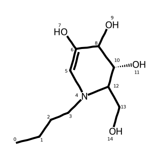 CCCCN1C=C(O)C(O)[C@H](O)C1CO